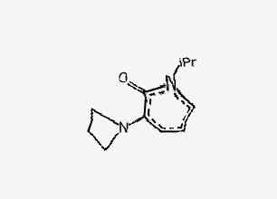 CC(C)n1cccc(N2CCC2)c1=O